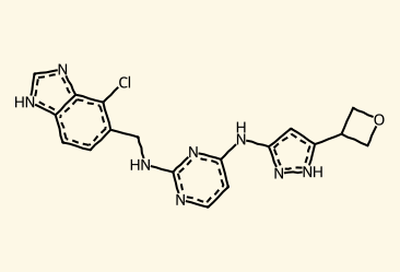 Clc1c(CNc2nccc(Nc3cc(C4COC4)[nH]n3)n2)ccc2[nH]cnc12